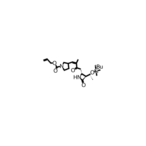 C=CCOC(=O)N1CCC(C=C(C)C(=O)C[C@H]2NC(=O)[C@@H]2[C@@H](C)O[Si](C)(C)C(C)(C)C)C1